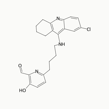 O=Cc1nc(CCCCNc2c3c(nc4ccc(Cl)cc24)CCCC3)ccc1O